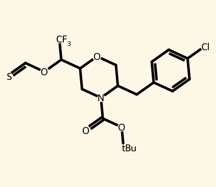 CC(C)(C)OC(=O)N1CC(C(OC=S)C(F)(F)F)OCC1Cc1ccc(Cl)cc1